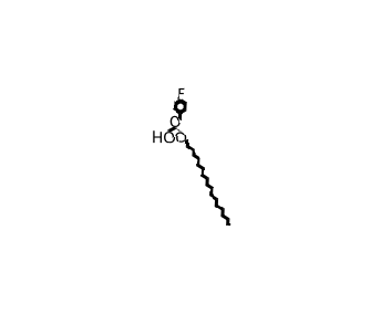 CCCCCCCCCCCCCCCCCCOC[C@H](CO)OCc1ccc(F)cc1